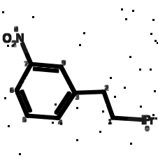 CC(C)CCc1cc[c]c([N+](=O)[O-])c1